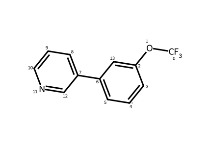 FC(F)(F)Oc1c[c]cc(-c2cccnc2)c1